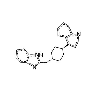 c1ccc2[nH]c(C[C@H]3CC[C@H](c4ccnc5ccccc54)CC3)nc2c1